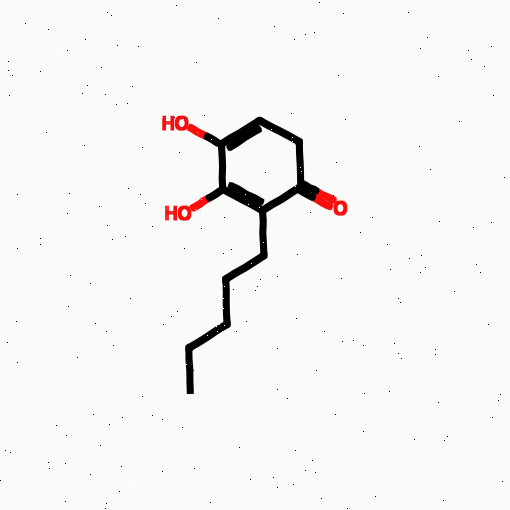 CCCCCC1=C(O)C(O)=CCC1=O